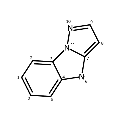 c1ccc2c(c1)[N]c1ccnn1-2